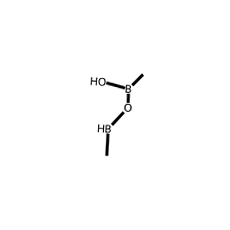 CBOB(C)O